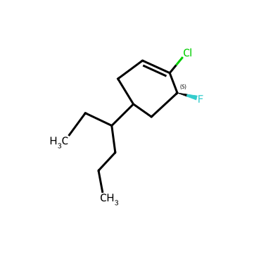 CCCC(CC)C1CC=C(Cl)[C@@H](F)C1